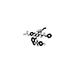 C=CCNCC(=O)N1[C@@H](NC(=O)NCc2ccccc2)CN(Cc2cccc3ccn(S(=O)(=O)c4ccc(Cl)cc4)c23)C(=O)[C@@H]1Cc1ccc(OPO)cc1